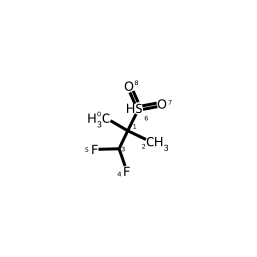 CC(C)(C(F)F)[SH](=O)=O